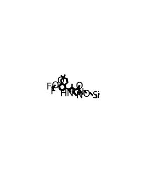 Cc1c(-c2ccc(OC(F)F)c3c2C=CC(C)(C)O3)[nH]c2cnn(COCC[Si](C)(C)C)c(=O)c12